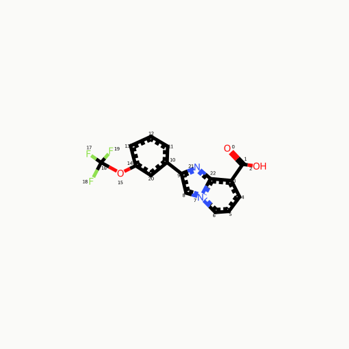 O=C(O)c1cccn2cc(-c3cccc(OC(F)(F)F)c3)nc12